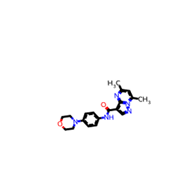 Cc1cc(C)n2ncc(C(=O)Nc3ccc(N4CCOCC4)cc3)c2n1